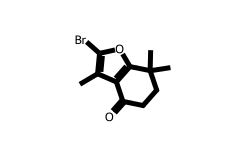 Cc1c(Br)oc2c1C(=O)CCC2(C)C